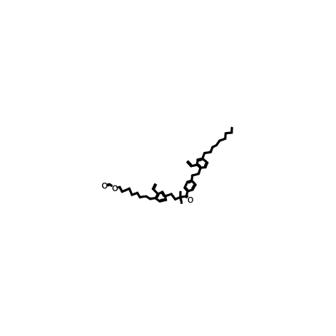 C=Cc1cc(CCC(C)(C)C(=O)c2ccc(CCc3ccc(CCCCCCCCC)cc3C=C)cc2)ccc1CCCCCCCCOC=O